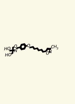 Cc1cc(CCCCCCCOc2ccc(C3=NC(CO)(CO)CO3)cc2)on1